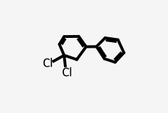 ClC1(Cl)C=CC=C(c2ccccc2)C1